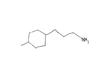 CC1CCC(CCCN)CC1